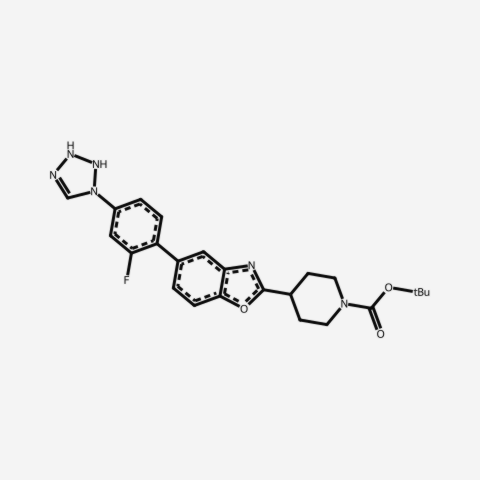 CC(C)(C)OC(=O)N1CCC(c2nc3cc(-c4ccc(N5C=NNN5)cc4F)ccc3o2)CC1